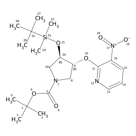 CC(C)(C)OC(=O)N1C[C@@H](Oc2ncccc2[N+](=O)[O-])[C@H](O[Si](C)(C)C(C)(C)C)C1